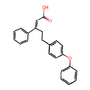 O=C(O)/C=C(\CCc1ccc(Oc2ccccc2)cc1)c1ccccc1